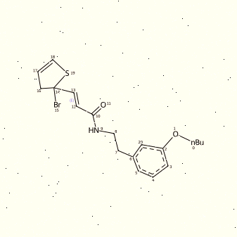 CCCCOc1cccc(CCNC(=O)/C=C/C2(Br)CC=CS2)c1